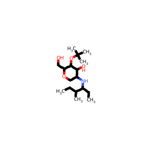 CCC(C)C(CC)NC1COC(CO)C(OC(C)(C)C)C1O